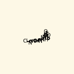 CC(=O)c1c(C)c2cnc(Nc3ccc(N4CCN(c5ccc(CCl)nc5)CC4)cn3)nc2n(C2CCCC2)c1=O